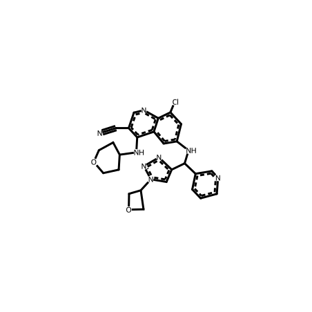 N#Cc1cnc2c(Cl)cc(NC(c3cccnc3)c3cn(C4COC4)nn3)cc2c1NC1CCOCC1